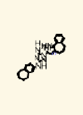 N=C1/C(=C\C(=N)n2nc(Nc3ccc4c(c3)CCCCC4)nc2N)CCCc2ccccc21